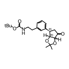 CC(C)(C)OC(=O)NCCc1cccc([C@H]2CC(=O)[C@@H]3OC(C)(C)O[C@H]23)c1